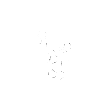 C#Cc1c(F)ccc2cc(O)cc(-c3nc(COC)c4c(N5CC6CCC(C5)N6)nc(OC[C@@]56CCCN5C[C@H](F)C6)nc4c3F)c12